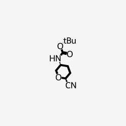 CC(C)(C)OC(=O)N[C@@H]1CC[C@@H](C#N)OC1